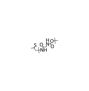 CC(=S)CC(C)(C)NC(=O)CNC(=O)OC(C)(C)C